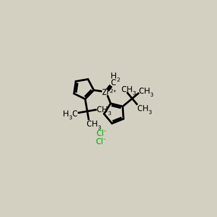 [CH2]=[Zr+2]([C]1=C(C(C)(C)C)C=CC1)[C]1=C(C(C)(C)C)C=CC1.[Cl-].[Cl-]